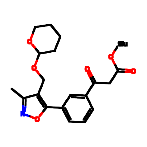 Cc1noc(-c2cccc(C(=O)CC(=O)OC(C)(C)C)c2)c1COC1CCCCO1